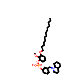 CCCCCCCCCCCCCCOc1cccc(OP(=O)(O)Oc2cccc(CN3C=CC=C4CC=CC=C43)c2)c1OC